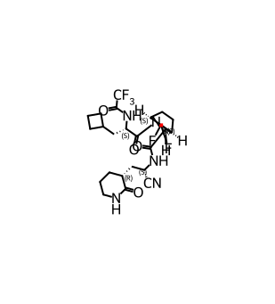 N#C[C@H](C[C@H]1CCCNC1=O)NC(=O)[C@H]1[C@@H]2CC[C@@H](CC2(F)F)N1C(=O)[C@H](CC1CCC1)NC(=O)C(F)(F)F